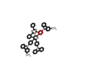 Cc1ccc2c(c1)c1ccccc1n2-c1ccc(-c2cc(-c3ccccc3-c3nc(-c4ccccc4)nc(-c4ccccc4)n3)c(-c3ccc(-n4c5ccccc5c5cc(C)ccc54)cc3)c(-c3ccc(-n4c5ccccc5c5ccccc54)cc3)n2)cc1